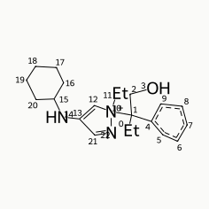 CCC(CO)(c1ccccc1)[N+]1(CC)C=C(NC2CCCCC2)C=N1